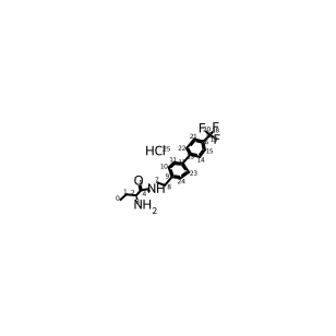 CC[C@H](N)C(=O)NCCc1ccc(-c2ccc(C(F)(F)F)cc2)cc1.Cl